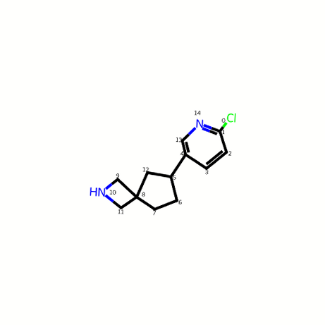 Clc1ccc(C2CCC3(CNC3)C2)cn1